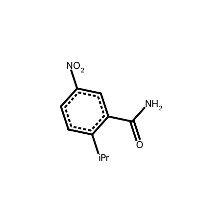 CC(C)c1ccc([N+](=O)[O-])cc1C(N)=O